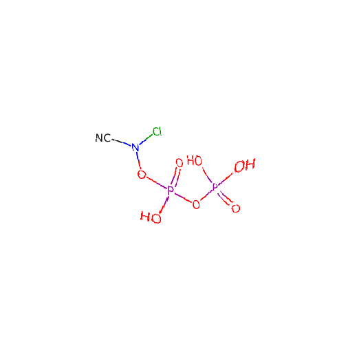 N#CN(Cl)OP(=O)(O)OP(=O)(O)O